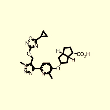 Cc1nc(-c2nnn(C)c2COc2noc(C3CC3)n2)ccc1O[C@@H]1C[C@@H]2CC[C@@H](C(=O)O)[C@@H]2C1